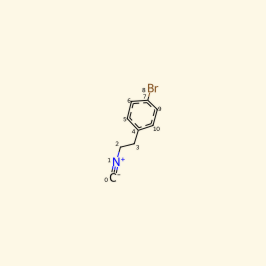 [C-]#[N+]CCc1ccc(Br)cc1